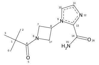 CC(C)(C)C(=O)N1CC(n2c[c]nc2C(N)=O)C1